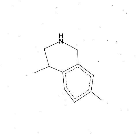 Cc1ccc2c(c1)CNCC2C